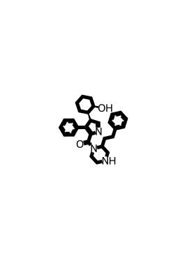 O=C(C1=C(c2ccccc2)C([C@H]2CCCC[C@H]2O)C=N1)N1CCNCC1CCc1ccccc1